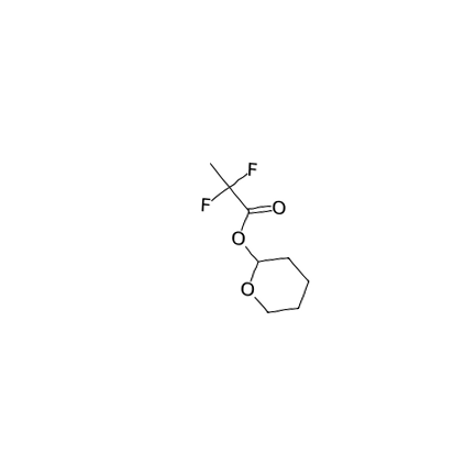 CC(F)(F)C(=O)OC1CCCCO1